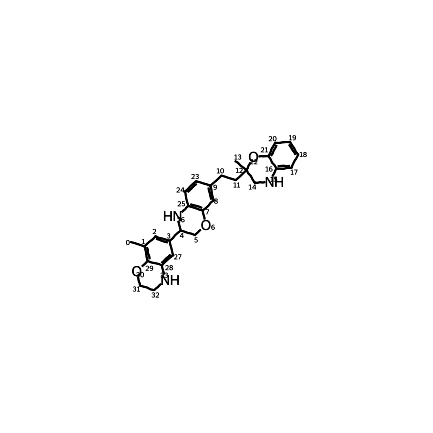 Cc1cc(C2COc3cc(CCC4(C)CNc5ccccc5O4)ccc3N2)cc2c1OCCN2